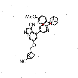 COc1ccc(CN2C3CC2CN(c2ccc(-c4cc(OCC56CC(C#N)C(C5)C6)cn5ncc(C#N)c45)cn2)C3)cn1